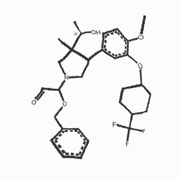 COc1ccc(C2CN(C(C=O)OCc3ccccc3)CC2(C)[C@@H](C)O)cc1OC1CCC(C(F)(F)F)CC1